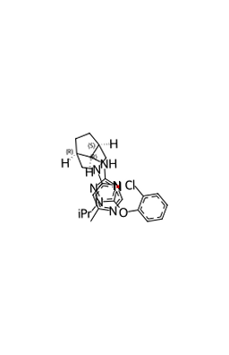 Cc1cc(N2C[C@H]3CC[C@@H](C2)[C@H]3Nc2nc(Oc3ccccc3Cl)n(C(C)C)n2)ncn1